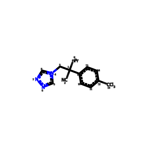 CCCC(C#N)(Cn1cnnc1)c1ccc(C(Cl)(Cl)Cl)cc1